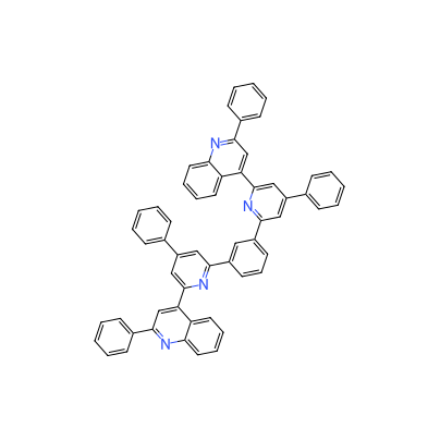 c1ccc(-c2cc(-c3cccc(-c4cc(-c5ccccc5)cc(-c5cc(-c6ccccc6)nc6ccccc56)n4)c3)nc(-c3cc(-c4ccccc4)nc4ccccc34)c2)cc1